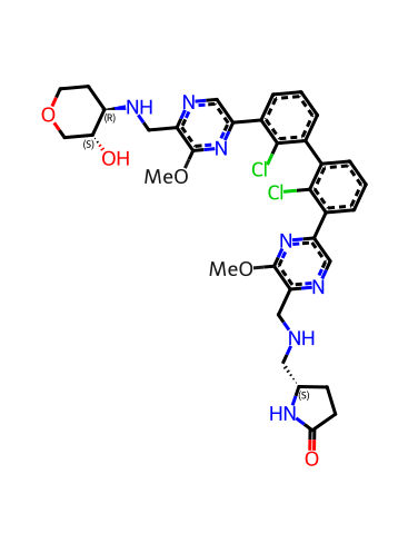 COc1nc(-c2cccc(-c3cccc(-c4cnc(CN[C@@H]5CCOC[C@H]5O)c(OC)n4)c3Cl)c2Cl)cnc1CNC[C@@H]1CCC(=O)N1